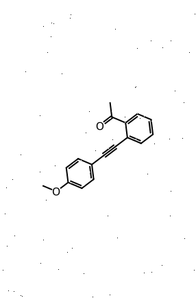 COc1ccc(C#Cc2ccccc2C(C)=O)cc1